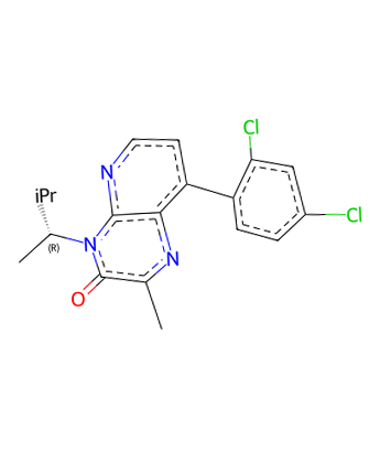 Cc1nc2c(-c3ccc(Cl)cc3Cl)ccnc2n([C@H](C)C(C)C)c1=O